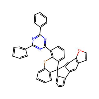 c1ccc(-c2nc(-c3ccccc3)nc(-c3cccc4c3Sc3ccccc3C43c4ccccc4-c4cc5ccoc5cc43)n2)cc1